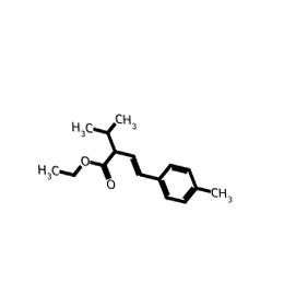 CCOC(=O)C(/C=C/c1ccc(C)cc1)C(C)C